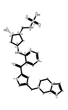 O=C(c1cc(CN2CCn3ccnc3C2)cs1)c1cncnc1N[C@H]1C[C@H](O)[C@@H]([CH]NS(=O)(=O)O)C1